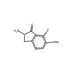 COc1ccc2c(c1F)C(=O)N(N)C2